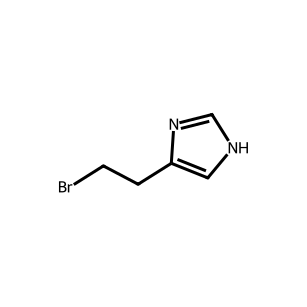 BrCCc1c[nH]cn1